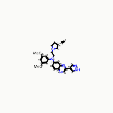 C#C[C@H]1CCN(CCN(c2cc(OC)cc(OC)c2)c2ccc3ncc(-c4cn[nH]c4)nc3c2)C1